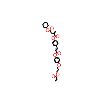 C=CC(=O)OCCCOc1ccc(OC(=O)/C=C/c2ccc(OC(=O)C(=C)CC(=O)OC3CCCCC3)cc2)cc1